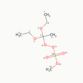 CCOC(C)(OCC)OOS(=O)(=O)OC